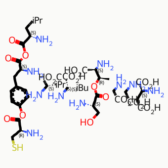 CC(C)C[C@H](N)C(=O)OC(=O)[C@@H](N)Cc1ccc(OC(=O)[C@@H](N)CS)cc1.CC(C)[C@H](N)C(=O)O.CC[C@H](C)[C@H](N)C(=O)O.C[C@@H](OC(=O)[C@@H](N)CO)[C@H](N)C(=O)O.NCC(=O)O.NCC(=O)O.N[C@@H](CC(=O)O)C(=O)O